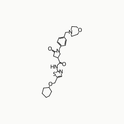 O=C(Nc1ncc(COC2CCCCC2)s1)C1CC(=O)N(c2ccc(CN3CCOCC3)cc2)C1